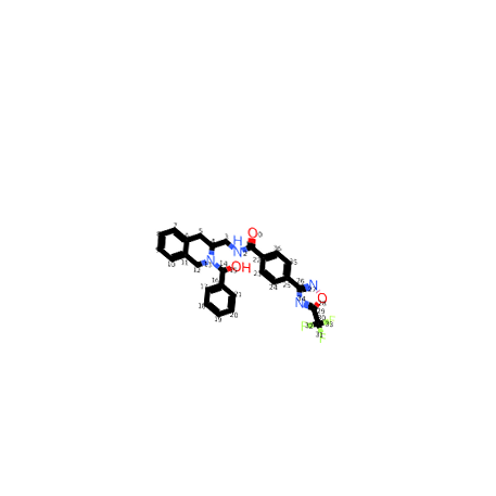 O=C(NCC1Cc2ccccc2CN1C(O)c1ccccc1)c1ccc(-c2noc(C(F)(F)F)n2)cc1